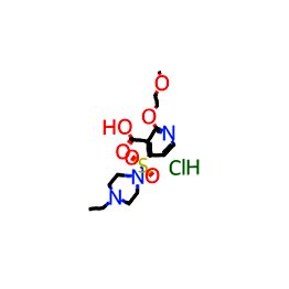 CCN1CCN(S(=O)(=O)c2ccnc(OCCOC)c2C(=O)O)CC1.Cl